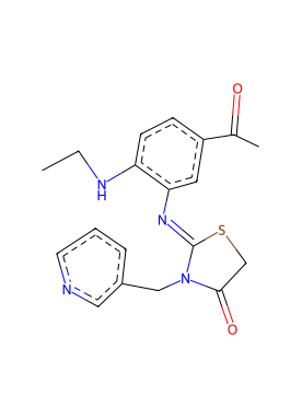 CCNc1ccc(C(C)=O)cc1N=C1SCC(=O)N1Cc1cccnc1